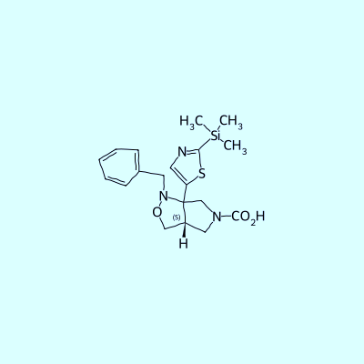 C[Si](C)(C)c1ncc(C23CN(C(=O)O)C[C@@H]2CON3Cc2ccccc2)s1